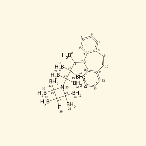 BC(=C1c2ccccc2C=Cc2ccccc21)C(B)(B)C(B)(B)N1C(B)(B)C(B)(F)C1(B)B